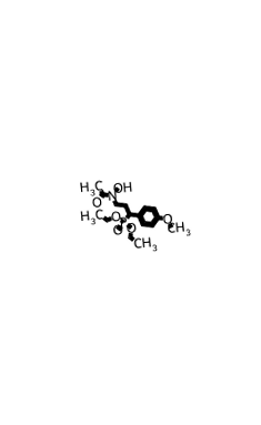 CCOP(=O)(OCC)C(CCN(O)C(C)=O)c1ccc(OC)cc1